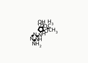 CC1(C)O[C@@H]2[C@@H](CO)C[C@@H](Nc3ncnc(N)n3)[C@@H]2O1